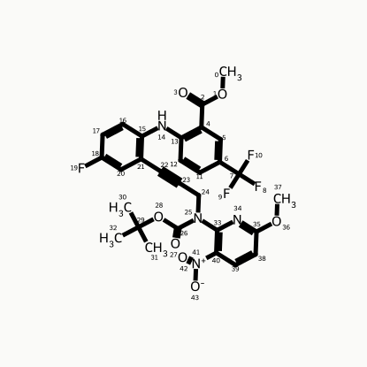 COC(=O)c1cc(C(F)(F)F)ccc1Nc1ccc(F)cc1C#CCN(C(=O)OC(C)(C)C)c1nc(OC)ccc1[N+](=O)[O-]